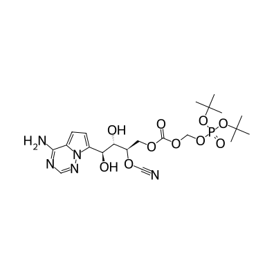 CC(C)(C)OP(=O)(OCOC(=O)OC[C@@H](OC#N)[C@@H](O)[C@@H](O)c1ccc2c(N)ncnn12)OC(C)(C)C